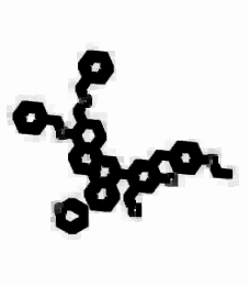 C1=CCOC=C1.CCOc1ccc(Cc2cc(-c3cc4c5c(ccc4c4ccccc34)C(OCc3ccccc3)C(COCc3ccccc3)CC5)c(CCl)cc2Cl)cc1